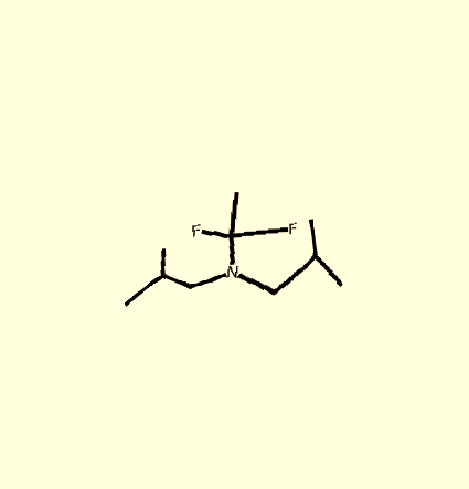 CC(C)CN(CC(C)C)C(C)(F)F